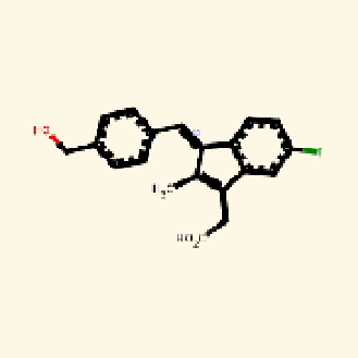 CC1=C(CC(=O)O)c2cc(F)ccc2/C1=C/c1ccc(CO)cc1